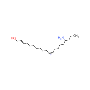 CCCC(N)CCCC/C=C\CCCCCCCC=CCO